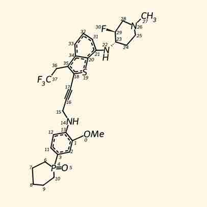 COc1cc(P2(=O)CCCCC2)ccc1NCC#Cc1sc2c(N[C@H]3CCN(C)C[C@@H]3F)cccc2c1CC(F)(F)F